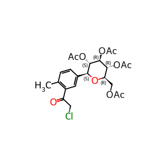 CC(=O)OC[C@H]1O[C@@H](c2ccc(C)c(C(=O)CCl)c2)[C@H](OC(C)=O)[C@@H](OC(C)=O)[C@@H]1OC(C)=O